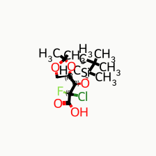 CC1(C)OC[C@H]([C@@H](O[Si](C)(C)C(C)(C)C)[C@](F)(Cl)C(=O)O)O1